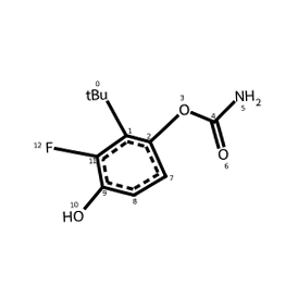 CC(C)(C)c1c(OC(N)=O)ccc(O)c1F